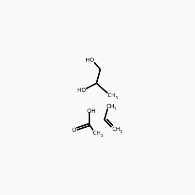 C=CC.CC(=O)O.CC(O)CO